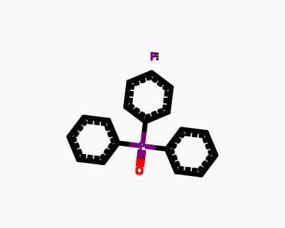 O=P(c1ccccc1)(c1ccccc1)c1ccccc1.[P]